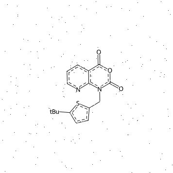 CC(C)(C)c1ccc(Cn2c(=O)oc(=O)c3cccnc32)s1